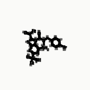 CCC(=O)c1nc2nc(S(=N)(=O)CC)nc(N)c2n1C(=O)N(C)Cc1ccc(Br)cc1